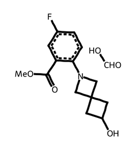 COC(=O)c1cc(F)ccc1N1CC2(CC(O)C2)C1.O=CO